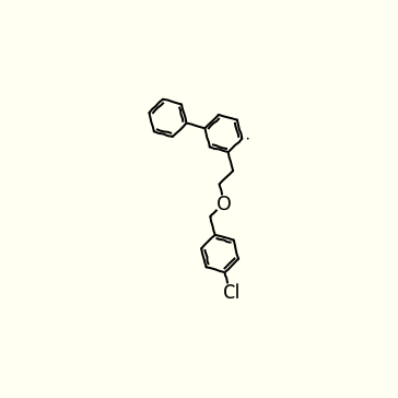 Clc1ccc(COCCc2[c]ccc(-c3ccccc3)c2)cc1